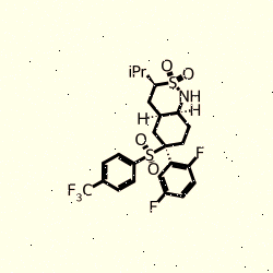 CC(C)[C@@H]1C[C@@H]2C[C@](c3cc(F)ccc3F)(S(=O)(=O)c3ccc(C(F)(F)F)cc3)CC[C@@H]2NS1(=O)=O